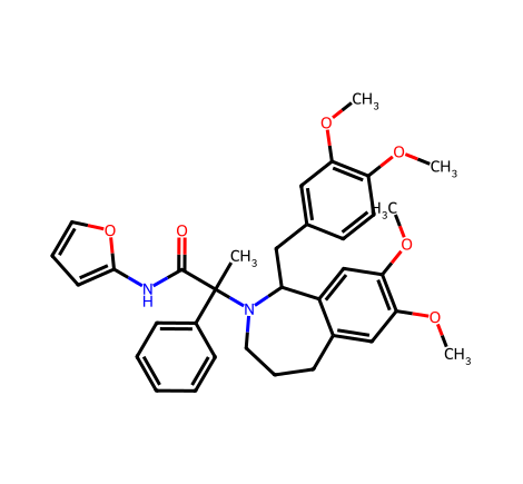 COc1ccc(CC2c3cc(OC)c(OC)cc3CCCN2C(C)(C(=O)Nc2ccco2)c2ccccc2)cc1OC